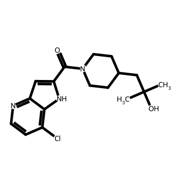 CC(C)(O)CC1CCN(C(=O)c2cc3nccc(Cl)c3[nH]2)CC1